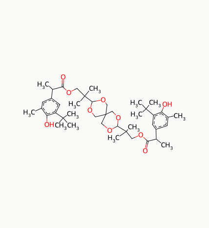 Cc1cc(C(C)C(=O)OCC(C)(C)C2OCC3(CO2)COC(C(C)(C)COC(=O)C(C)c2cc(C)c(O)c(C(C)(C)C)c2)OC3)cc(C(C)(C)C)c1O